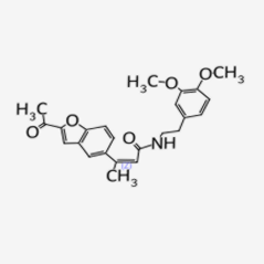 COc1ccc(CCNC(=O)/C=C(/C)c2ccc3oc(C(C)=O)cc3c2)cc1OC